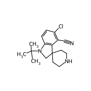 CC(C)(C)N1CC2(CCNCC2)c2c1ccc(Cl)c2C#N